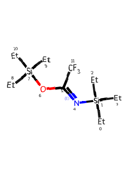 CC[Si](CC)(CC)/N=C(/O[Si](CC)(CC)CC)C(F)(F)F